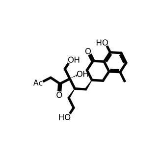 CC(=O)CC(=O)[C@@](O)(CO)[C@H](CCO)C[C@H]1CC(=O)c2c(O)ccc(C)c2C1